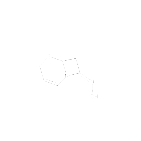 ON=C1CC2SCC=CN12